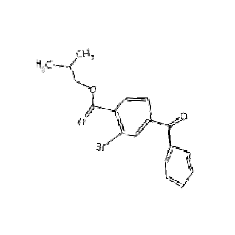 CC(C)COC(=O)c1ccc(C(=O)c2ccccc2)cc1Br